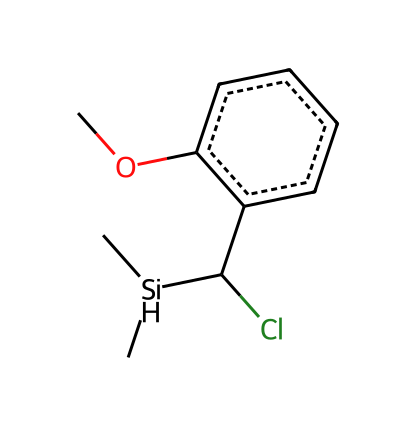 COc1ccccc1C(Cl)[SiH](C)C